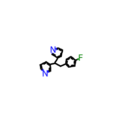 Fc1ccc(CC(c2cccnc2)c2cccnc2)cc1